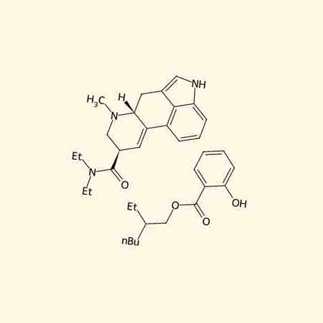 CCCCC(CC)COC(=O)c1ccccc1O.CCN(CC)C(=O)[C@@H]1C=C2c3cccc4[nH]cc(c34)C[C@H]2N(C)C1